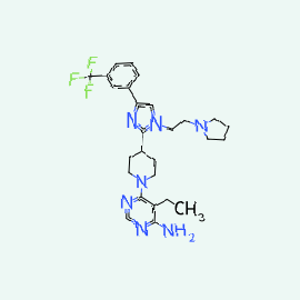 CCc1c(N)ncnc1N1CCC(c2nc(-c3cccc(C(F)(F)F)c3)cn2CCN2CCCC2)CC1